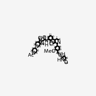 COc1cc(-c2nccc(-c3cccc(NC(=O)c4nc5c(n4C)CCN(C4CCN(C(C)=O)CC4)C5)c3Cl)c2Cl)ccc1CNC[C@@H]1CCC(=O)N1